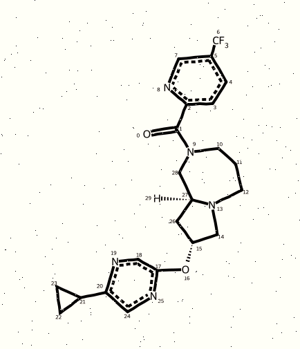 O=C(c1ccc(C(F)(F)F)cn1)N1CCCN2C[C@H](Oc3cnc(C4CC4)cn3)C[C@H]2C1